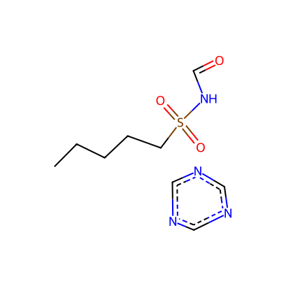 CCCCCS(=O)(=O)NC=O.c1ncncn1